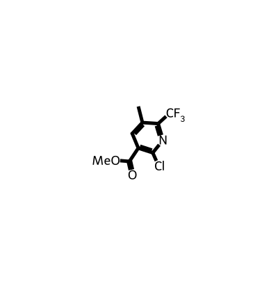 COC(=O)c1cc(C)c(C(F)(F)F)nc1Cl